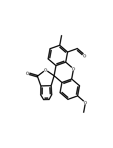 COc1ccc2c(c1)Oc1c(ccc(C)c1C=O)C21OC(=O)c2ccccc21